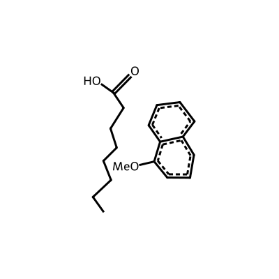 CCCCCCCC(=O)O.COc1cccc2ccccc12